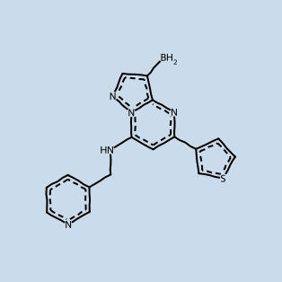 Bc1cnn2c(NCc3cccnc3)cc(-c3ccsc3)nc12